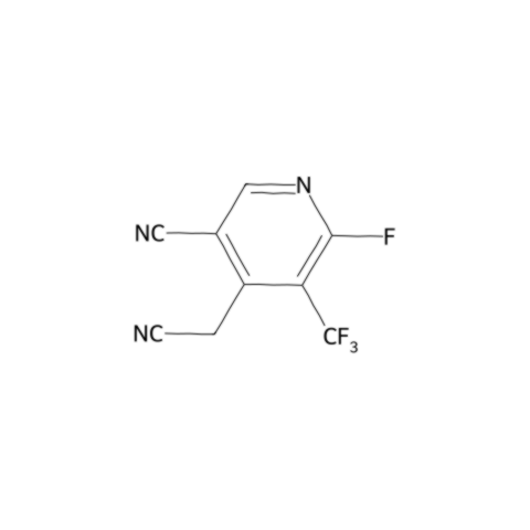 N#CCc1c(C#N)cnc(F)c1C(F)(F)F